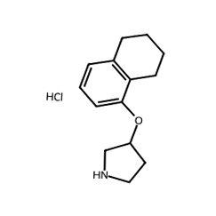 Cl.c1cc2c(c(OC3CCNC3)c1)CCCC2